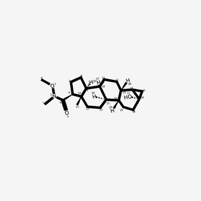 CON(C)C(=O)[C@H]1CC[C@H]2[C@@H]3CC[C@@H]4C5C[C@@]5(O)CC[C@@H]4[C@H]3CC[C@]12C